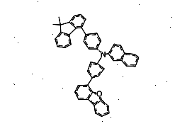 CC1(C)c2ccccc2-c2c(-c3ccc(N(c4ccc(-c5cccc6c5oc5ccccc56)cc4)c4ccc5ccccc5c4)cc3)cccc21